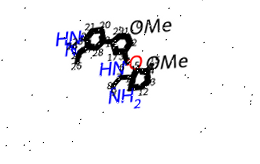 COc1cc(C(=O)NC(CN)c2cccc(OC)c2)cc(-c2ccc3[nH]nc(C)c3c2)c1